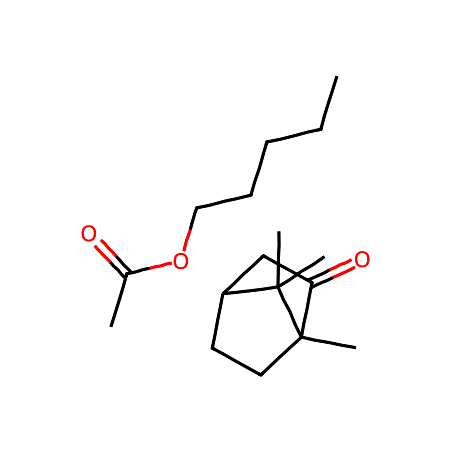 CC12CCC(CC1=O)C2(C)C.CCCCCOC(C)=O